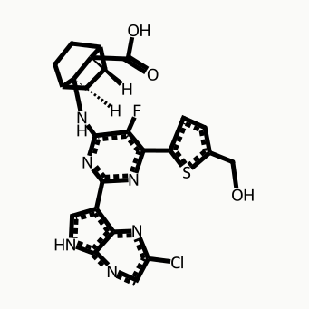 O=C(O)[C@H]1C2CCC(CC2)[C@@H]1Nc1nc(-c2c[nH]c3ncc(Cl)nc23)nc(-c2ccc(CO)s2)c1F